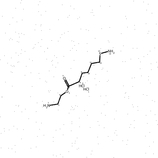 Cl.Cl.NCCOC(=O)CCCCCSN